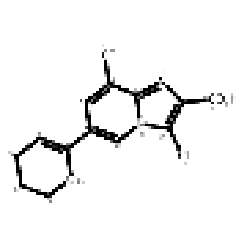 O=C(O)c1nc2c(C(F)(F)F)cc(C3=CCCCO3)cn2c1Cl